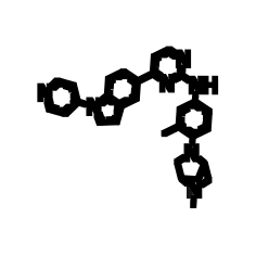 Cc1cc(Nc2nccc(-c3ccc4c(ccn4-c4ccncc4)c3)n2)ccc1N1CC2CC1CN2C